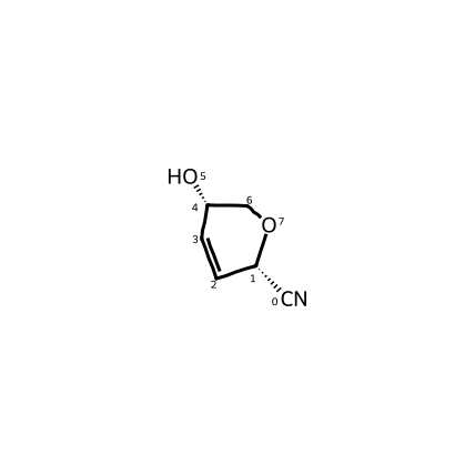 N#C[C@@H]1C=C[C@H](O)CO1